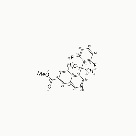 COC(=O)c1ccc2c(C(C)(C)c3c(F)cccc3F)cncc2c1